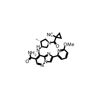 COc1cccc(-c2cn3ncc(C(N)=O)c(N[C@@H]4CN(C(=O)C5(C#N)CC5)C[C@H]4C)c3n2)n1